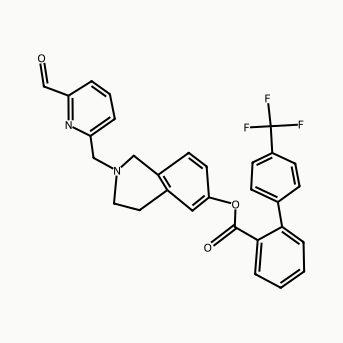 O=Cc1cccc(CN2CCc3cc(OC(=O)c4ccccc4-c4ccc(C(F)(F)F)cc4)ccc3C2)n1